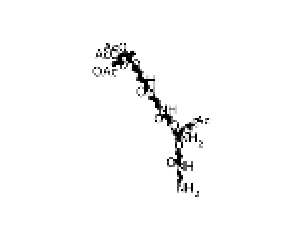 CC(=O)CCOCC(N)(COCCC(=O)NCCCN)COCCC(=O)NCCCNC(=O)CCCCO[C@@H]1OC(COC(C)=O)[C@H](OC(C)=O)C(OC(C)=O)C1C